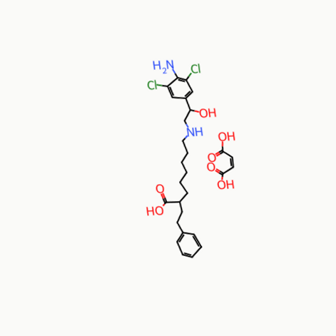 Nc1c(Cl)cc(C(O)CNCCCCCCC(CCc2ccccc2)C(=O)O)cc1Cl.O=C(O)/C=C\C(=O)O